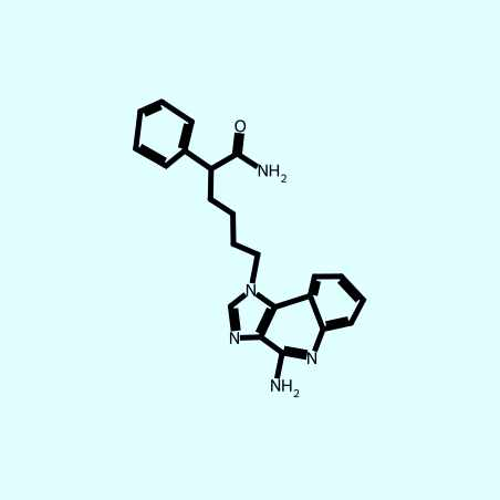 NC(=O)C(CCCCn1cnc2c(N)nc3ccccc3c21)c1ccccc1